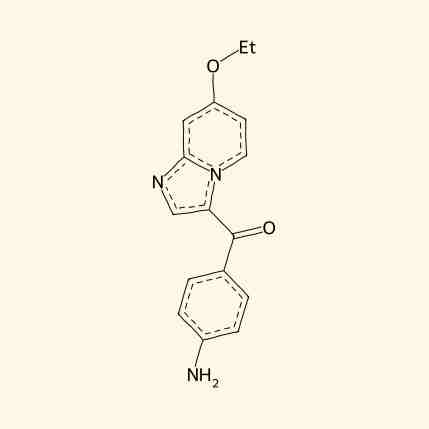 CCOc1ccn2c(C(=O)c3ccc(N)cc3)cnc2c1